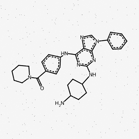 NC1CCC(Nc2nc(Nc3ccc(C(=O)N4CCCCC4)cc3)c3ncn(-c4ccccc4)c3n2)CC1